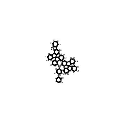 c1ccc(-c2ccc(N(c3ccc4c(c3)C3(c5ccccc5-c5ccccc53)c3ccccc3-4)c3cccc4c3-c3ccccc3C43c4ccccc4-c4c3ccc3c4oc4ccccc43)cc2)cc1